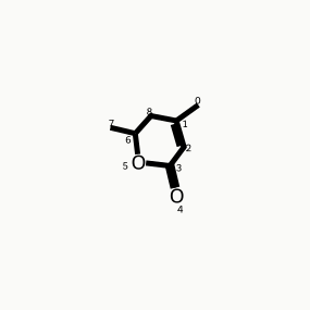 CC1=CC(=O)OC(C)C1